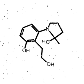 CC1(O)CCCN1c1cccc(O)c1CCO